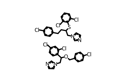 Clc1ccc(CCC(Cn2ccnc2)Sc2c(Cl)cccc2Cl)cc1.Clc1ccc(COC(Cn2ccnc2)c2ccc(Cl)cc2Cl)cc1